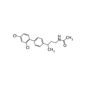 CC(=O)NCCC(C)c1ccc(-c2ccc(Cl)cc2Cl)cc1